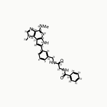 CNc1nc2[nH]c(-c3cccc(CNC(=O)CNC(=O)c4ccccc4)c3)cc2c2c1ncn2C